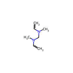 C=CN(C)CN(C)C=C